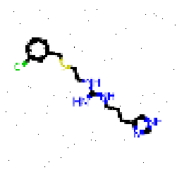 N=C(NCCCc1c[nH]cn1)NCCSCc1cccc(Cl)c1